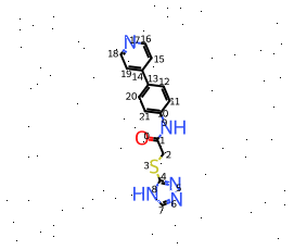 O=C(CSc1nnc[nH]1)Nc1ccc(-c2ccncc2)cc1